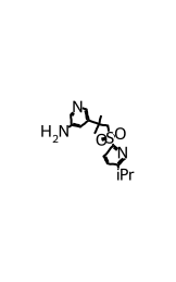 CC(C)c1ccc(S(=O)(=O)CC(C)(C)c2cncc(N)c2)nc1